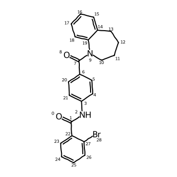 O=C(Nc1ccc(C(=O)N2CCCCc3ccccc32)cc1)c1ccccc1Br